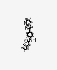 O=C(Cc1cccs1)Nc1ccc(-c2cn3cccnc3n2)cc1